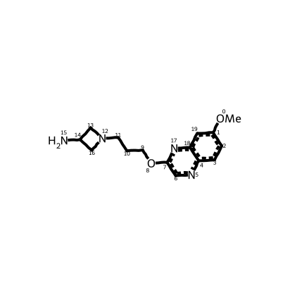 COc1ccc2ncc(OCCCN3CC(N)C3)nc2c1